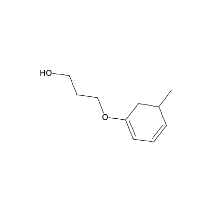 CC1C=CC=C(OCCCO)C1